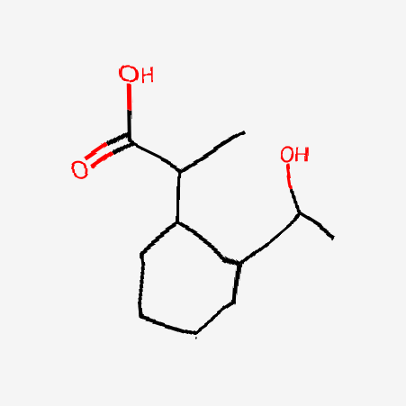 CC(O)C1C[CH]CCC1C(C)C(=O)O